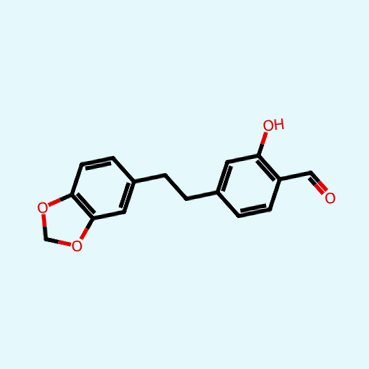 O=Cc1ccc(CCc2ccc3c(c2)OCO3)cc1O